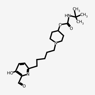 CC(C)(C)NC(=O)OC1CCN(CCCCCc2ccc(O)c(C=O)n2)CC1